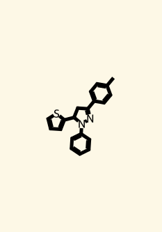 Cc1ccc(C2=NN(c3ccccc3)C(c3cccs3)C2)cc1